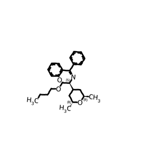 CCCCOC(=O)[C@@H](N=C(c1ccccc1)c1ccccc1)C1C[C@@H](C)O[C@H](C)C1